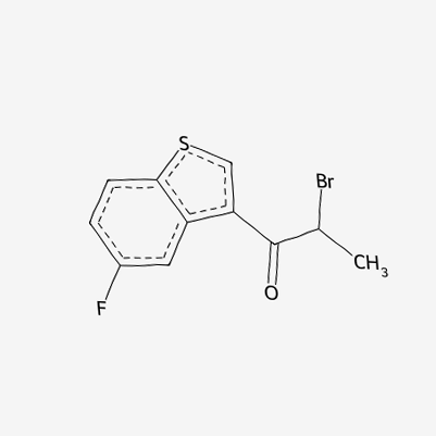 CC(Br)C(=O)c1csc2ccc(F)cc12